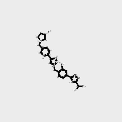 Fc1cc(-c2nnc(C(F)F)o2)ccc1Cn1cc(-c2ccc(CN3CC[C@H](F)C3)cn2)nn1